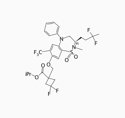 CC(C)OC(=O)C1(COc2cc3c(cc2C(F)(F)F)N(c2ccccc2)C[C@@H](CCC(C)(F)F)N(C)S3(=O)=O)CC(F)(F)C1